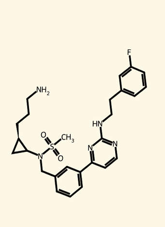 CS(=O)(=O)N(Cc1cccc(-c2ccnc(NCCc3cccc(F)c3)n2)c1)C1C[C@H]1CCCN